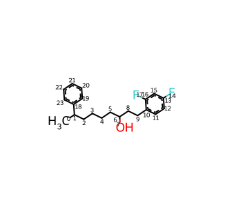 CC(CCCCC(O)CCc1ccc(F)cc1F)c1ccccc1